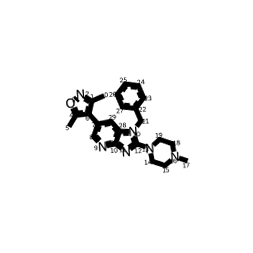 Cc1noc(C)c1-c1cnc2nc(N3CCN(C)CC3)n(Cc3ccccc3)c2c1